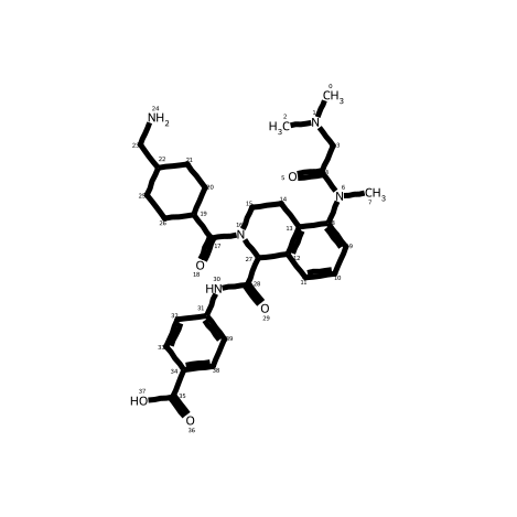 CN(C)CC(=O)N(C)c1cccc2c1CCN(C(=O)C1CCC(CN)CC1)C2C(=O)Nc1ccc(C(=O)O)cc1